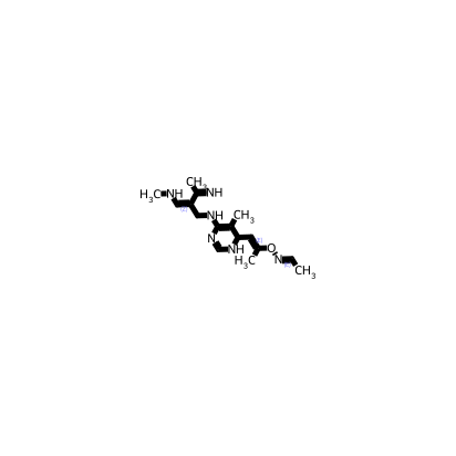 C/C=N/O/C(C)=C/C1NC=NC(NC/C(=C/NC)C(C)=N)=C1C